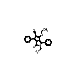 CCOC1=C(C#N)C(c2ccccc2)=C2C(=O)N(CC)C(c3ccccc3)=C12